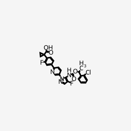 CC(OC(=O)Nc1c(F)cnn1-c1ccc(-c2ccc(C3(C(=O)O)CC3)c(F)c2)nc1)c1ccccc1Cl